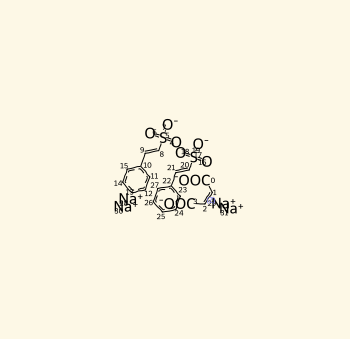 O=C([O-])/C=C\C(=O)[O-].O=S(=O)([O-])C=Cc1ccccc1.O=S(=O)([O-])C=Cc1ccccc1.[Na+].[Na+].[Na+].[Na+]